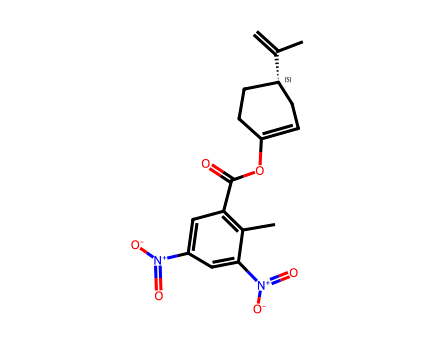 C=C(C)[C@@H]1CC=C(OC(=O)c2cc([N+](=O)[O-])cc([N+](=O)[O-])c2C)CC1